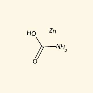 NC(=O)O.[Zn]